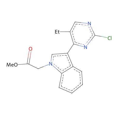 CCc1cnc(Cl)nc1-c1cn(CC(=O)OC)c2ccccc12